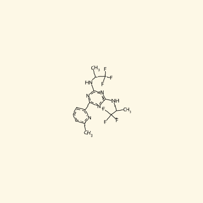 Cc1cccc(-c2nc(NC(C)C(F)(F)F)nc(NC(C)C(F)(F)F)n2)n1